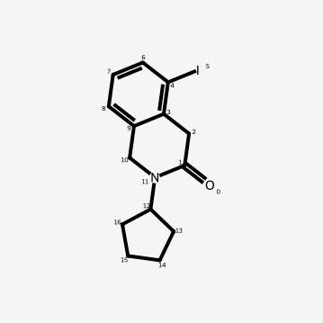 O=C1Cc2c(I)cccc2CN1C1CCCC1